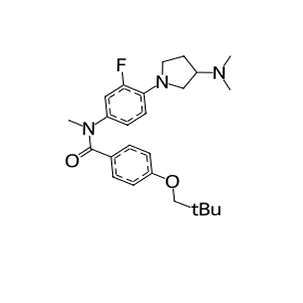 CN(C(=O)c1ccc(OCC(C)(C)C)cc1)c1ccc(N2CCC(N(C)C)C2)c(F)c1